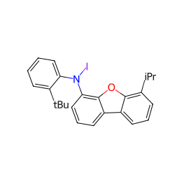 CC(C)c1cccc2c1oc1c(N(I)c3ccccc3C(C)(C)C)cccc12